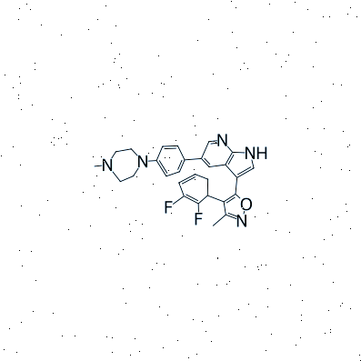 Cc1noc(-c2c[nH]c3ncc(-c4ccc(N5CCN(C)CC5)cc4)cc23)c1C1CC=CC(F)=C1F